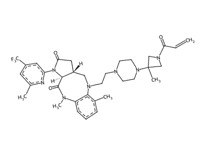 C=CC(=O)N1CC(C)(N2CCN(CCN3C[C@H]4CC(=O)N(c5cc(C(F)(F)F)cc(C)n5)[C@@H]4C(=O)N(C)c4cccc(C)c43)CC2)C1